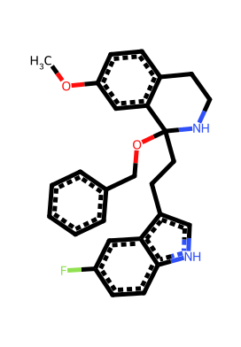 COc1ccc2c(c1)C(CCc1c[nH]c3ccc(F)cc13)(OCc1ccccc1)NCC2